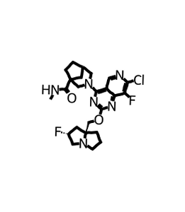 CNC(=O)C12CCC(CN(c3nc(OC[C@@]45CCCN4C[C@H](F)C5)nc4c(F)c(Cl)ncc34)C1)C2